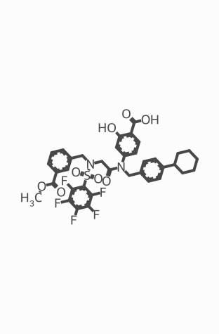 COC(=O)c1cccc(CN(CC(=O)N(Cc2ccc(C3CCCCC3)cc2)c2ccc(C(=O)O)c(O)c2)S(=O)(=O)c2c(F)c(F)c(F)c(F)c2F)c1